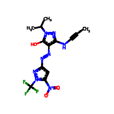 CC#CNc1nn(C(C)C)c(O)c1N=Nc1cc([N+](=O)[O-])n(C(F)(F)F)n1